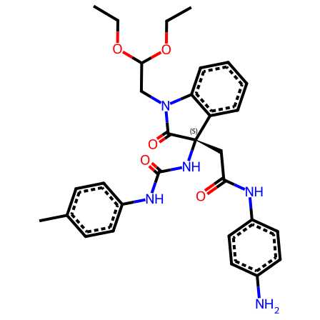 CCOC(CN1C(=O)[C@@](CC(=O)Nc2ccc(N)cc2)(NC(=O)Nc2ccc(C)cc2)c2ccccc21)OCC